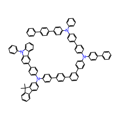 CC1(C)c2ccccc2-c2ccc(N(c3ccc(-c4ccc(-c5cccc(-c6ccc(N(c7ccc(-c8ccccc8)cc7)c7ccc(-c8ccc(N(c9ccccc9)c9ccc(-c%10ccc(-c%11ccccc%11)cc%10)cc9)cc8)cc7)cc6)c5)cc4)cc3)c3ccc(-c4ccc5c(c4)c4ccccc4n5-c4ccccc4)cc3)cc21